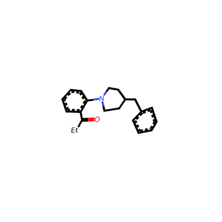 CCC(=O)c1ccccc1N1CCC(Cc2ccccc2)CC1